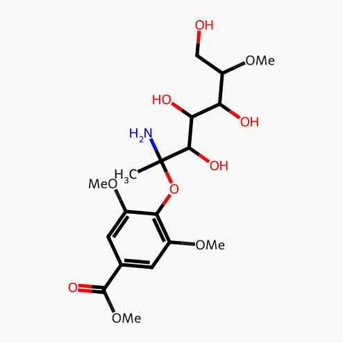 COC(=O)c1cc(OC)c(OC(C)(N)C(O)C(O)C(O)C(CO)OC)c(OC)c1